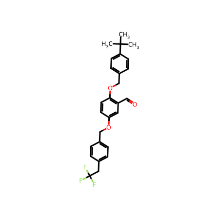 CC(C)(C)c1ccc(COc2ccc(OCc3ccc(CC(F)(F)F)cc3)cc2C=O)cc1